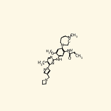 C=CC(=O)Nc1cc(Nc2ncc(C)c(-n3cc(CN4CCC4)cn3)n2)c(OC)cc1N1CCCN(C)CC1